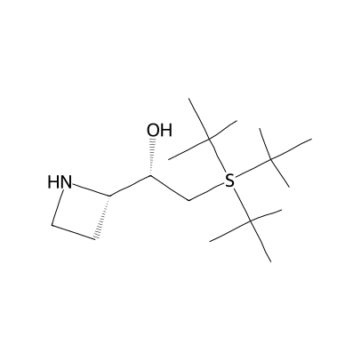 CC(C)(C)S(C[C@@H](O)[C@@H]1CCN1)(C(C)(C)C)C(C)(C)C